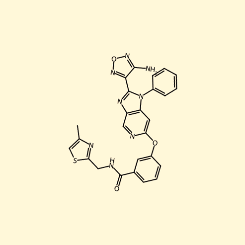 Cc1csc(CNC(=O)c2cccc(Oc3cc4c(cn3)nc(-c3nonc3N)n4-c3ccccc3)c2)n1